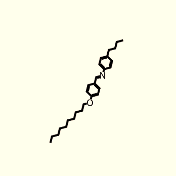 CCCCCCCCCCOc1ccc(/C=N/c2ccc(CCCC)cc2)cc1